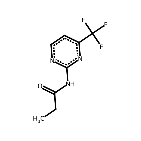 CCC(=O)Nc1nccc(C(F)(F)F)n1